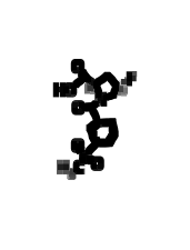 CS(=O)(=O)c1cccc(C(=O)N2C[C@@H](F)C[C@@H]2C(=O)O)c1